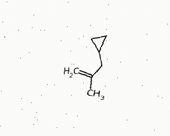 C=C(C)CC1CC1